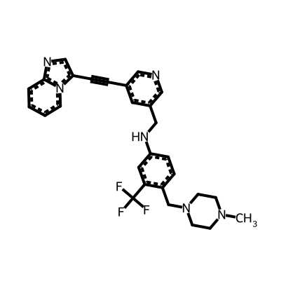 CN1CCN(Cc2ccc(NCc3cncc(C#Cc4cnc5ccccn45)c3)cc2C(F)(F)F)CC1